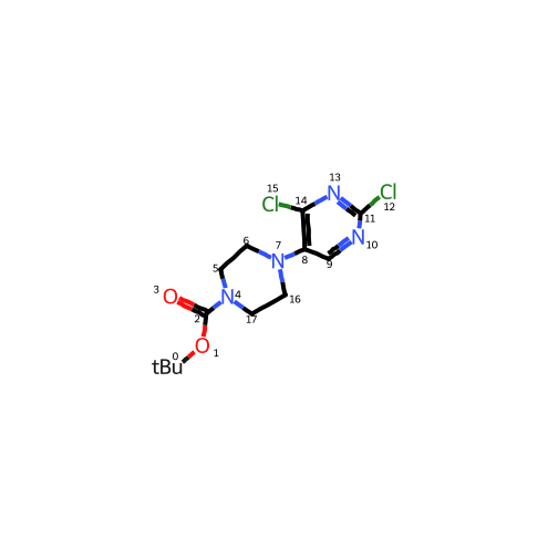 CC(C)(C)OC(=O)N1CCN(c2cnc(Cl)nc2Cl)CC1